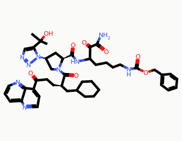 CC(C)(O)c1cnnn1[C@H]1C[C@@H](C(=O)NC(CCCCNC(=O)OCc2ccccc2)C(=O)C(N)=O)N(C(=O)[C@H](CCC(=O)c2ccnc3cccnc23)CC2CCCCC2)C1